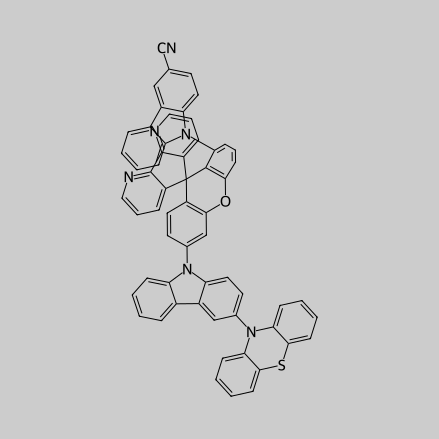 N#Cc1ccc2c(c1)c1ccccc1n2-c1cccc2c1C1(c3ccc(-n4c5ccccc5c5cc(N6c7ccccc7Sc7ccccc76)ccc54)cc3O2)c2cccnc2-c2ncccc21